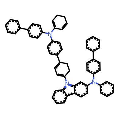 C1=CC(N(c2ccc(C3=CC=C(n4c5ccccc5c5ccc(N(c6ccccc6)c6ccc(-c7ccccc7)cc6)cc54)CC3)cc2)c2ccc(-c3ccccc3)cc2)=CCC1